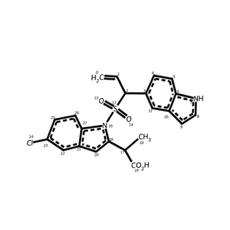 C=CC(c1ccc2[nH]ccc2c1)S(=O)(=O)n1c(C(C)C(=O)O)cc2cc(Cl)ccc21